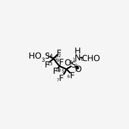 O=CNS(=O)(=O)C(F)(F)C(F)(F)C(F)(F)S(=O)(=O)O